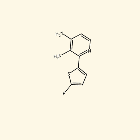 Nc1ccnc(-c2ccc(F)s2)c1N